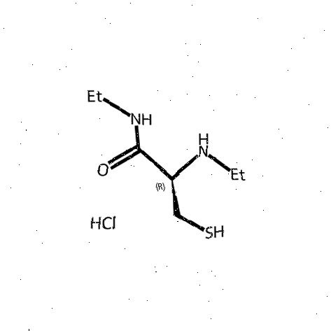 CCNC(=O)[C@H](CS)NCC.Cl